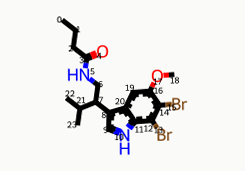 CCCC(=O)NCC(c1c[nH]c2c(Br)c(Br)c(OC)cc12)C(C)C